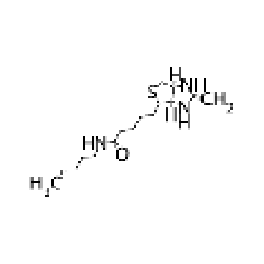 C=C1N[C@@H]2CSC(CCCCC(=O)NCCCCC)[C@@H]2N1